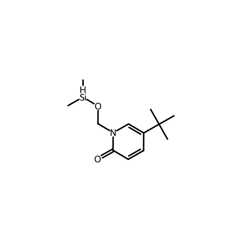 C[SiH](C)OCn1cc(C(C)(C)C)ccc1=O